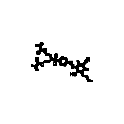 C=C(C)C(=O)OCCN(CCOC(=O)C(=C)C)S(=O)(=O)c1ccc(/N=N/C2=C(O)N(CCCC)C(=C)C(C#N)=C2C)cc1